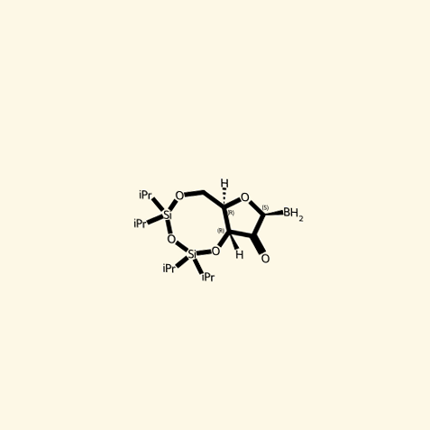 B[C@@H]1O[C@@H]2CO[Si](C(C)C)(C(C)C)O[Si](C(C)C)(C(C)C)O[C@H]2C1=O